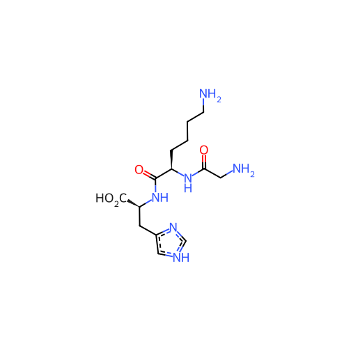 NCCCC[C@@H](NC(=O)CN)C(=O)N[C@@H](Cc1c[nH]cn1)C(=O)O